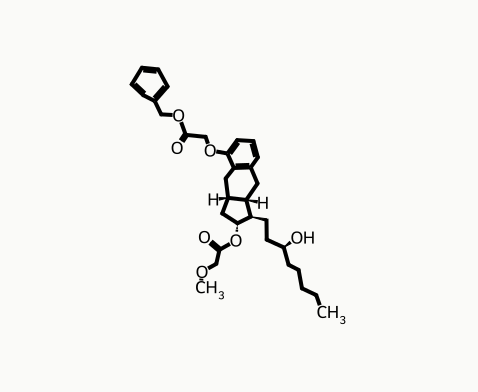 CCCCC[C@H](O)CC[C@@H]1[C@H]2Cc3cccc(OCC(=O)OCc4ccccc4)c3C[C@H]2C[C@H]1OC(=O)COC